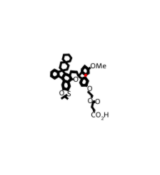 COc1ccc(C2(c3ccc(OCCOC(=O)CCC(=O)O)cc3)C=Cc3c4c(c5cc6c(cc5c3O2)SC(C)(C)O6)-c2ccccc2C42CCC3(CCCCC3)CC2)cc1